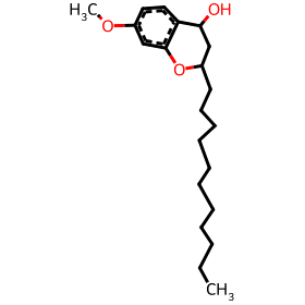 CCCCCCCCCCCC1CC(O)c2ccc(OC)cc2O1